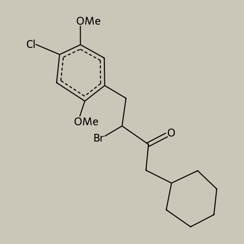 COc1cc(CC(Br)C(=O)CC2CCCCC2)c(OC)cc1Cl